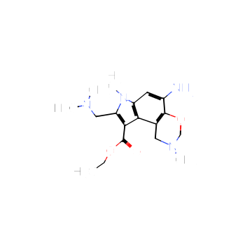 CCOC(=O)c1c(CN(C)C)n(C)c2cc(N)c3c(c12)CN(C)CO3